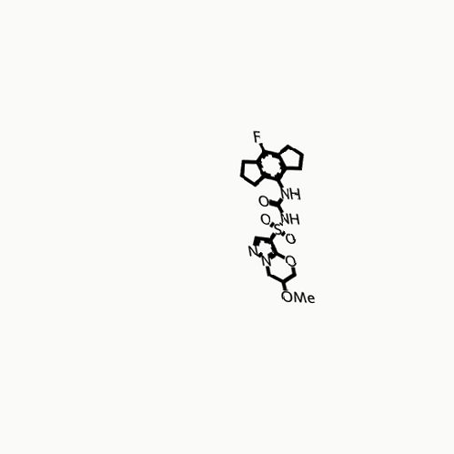 COC1COc2c(S(=O)(=O)NC(=O)Nc3c4c(c(F)c5c3CCC5)CCC4)cnn2C1